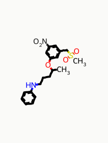 CC(CCCNc1ccccc1)Oc1cc(CS(C)(=O)=O)cc([N+](=O)[O-])c1